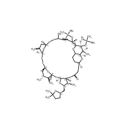 C=C1C[C@@H]2CCC(O)/C=C/[C@H](O[Si](C)(C)C(C)(C)C)[C@@H]3OC4CC[C@H](CC(=O)C[C@@H]5[C@@H](C)[C@@H](C[C@H]6CCC(C)(C)O6)O[C@H]5C[C@H]5O[C@@H](CC[C@@H]1O2)C[C@@H](C)C5=C)O[C@@H]4[C@H](C)[C@@H]3O[Si](C)(C)C(C)(C)C